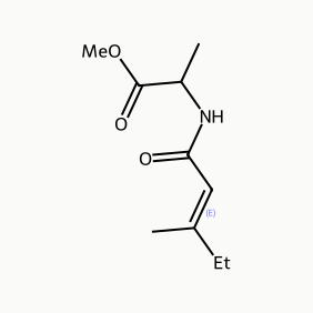 CC/C(C)=C/C(=O)NC(C)C(=O)OC